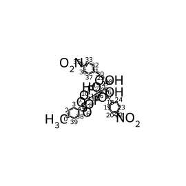 Cc1ccc(S(=O)(=O)OC(=O)C(F)(F)[C@](O)(OCc2ccc([N+](=O)[O-])cc2)[C@H](O)C(O)OCc2ccc([N+](=O)[O-])cc2)cc1